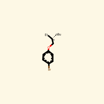 CCCC[C@@H](CC)COc1ccc(Br)cc1